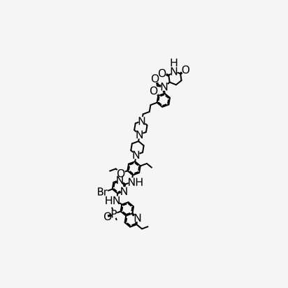 CCOc1cc(N2CCC(N3CCN(CCCc4cccc5c4oc(=O)n5C4CCC(=O)NC4=O)CC3)CC2)c(CC)cc1Nc1ncc(Br)c(Nc2ccc3nc(CC)ccc3c2P(C)(C)=O)n1